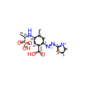 Cc1cc(/N=N/c2nccs2)c(C(=O)O)cc1NC(C)S(=O)(=O)O